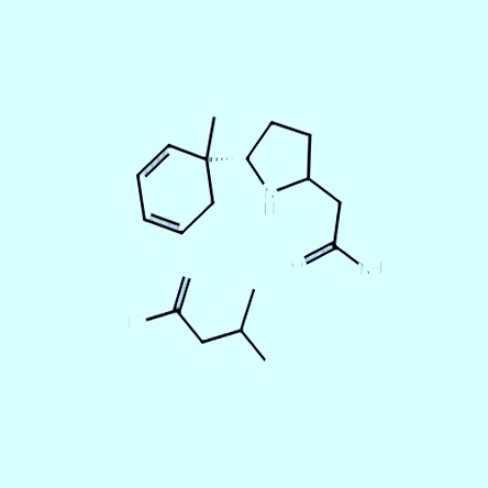 CC(C)CC(=O)O.CC1([C@@H]2CCC(CC(N)=O)N2)C=CC=CC1